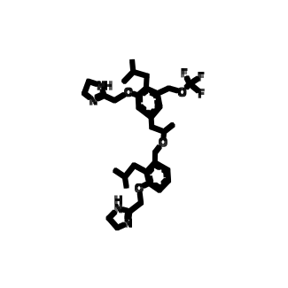 CC(C)Cc1c(COC(C)Cc2cc(COC(F)(F)F)c(CC(C)C)c(OCC3=NCCN3)c2)cccc1OCC1=NCCN1